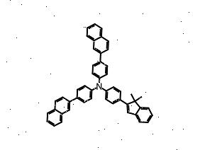 CC1(C)C(c2ccc(N(c3ccc(-c4ccc5ccccc5c4)cc3)c3ccc(-c4ccc5ccccc5c4)cc3)cc2)=Cc2ccccc21